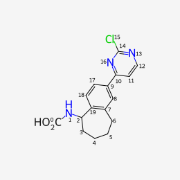 O=C(O)NC1CCCCc2cc(-c3ccnc(Cl)n3)ccc21